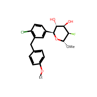 CCOc1ccc(Cc2cc([C@@H]3O[C@@H](OC)[C@H](F)[C@H](O)[C@H]3O)ccc2Cl)cc1